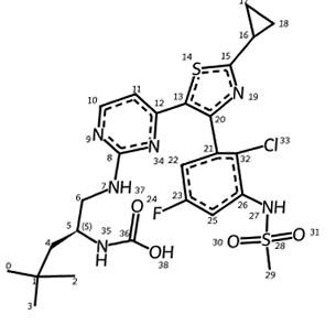 CC(C)(C)C[C@@H](CNc1nccc(-c2sc(C3CC3)nc2-c2cc(F)cc(NS(C)(=O)=O)c2Cl)n1)NC(=O)O